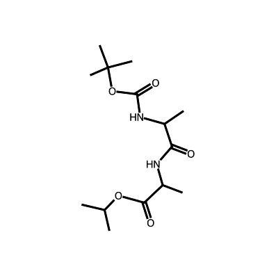 CC(C)OC(=O)C(C)NC(=O)C(C)NC(=O)OC(C)(C)C